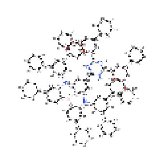 c1ccc(-c2cc(-c3ccccc3)cc(-c3nc(-c4cc(-c5ccccc5)cc(-c5ccccc5)c4)nc(-c4cc5c6c(c4)N(c4cc(-c7ccccc7)cc(-c7ccccc7)c4)c4cc(C7CCCCC7)ccc4B6c4ccc(C6CCCCC6)cc4N5c4cc(-c5ccccc5)cc(-c5ccccc5)c4)n3)c2)cc1